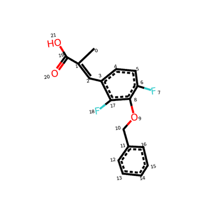 C/C(=C\c1ccc(F)c(OCc2ccccc2)c1F)C(=O)O